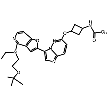 CCN(CCOC(C)(C)C)c1nccc2oc(-c3cnc4ccc(OC5CC(NC(=O)O)C5)nn34)cc12